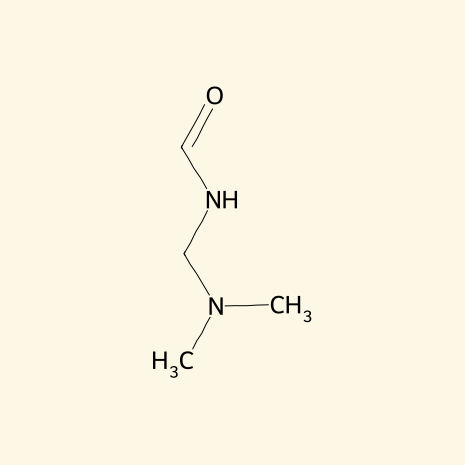 CN(C)CNC=O